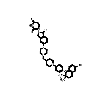 CC1(C)CCc2cc(O)ccc2[C@H]1c1ccc(N2CCC(CN3CCN(c4ccc5c(c4)CN([C@H]4CCC(=O)NC4=O)C5=O)CC3)CC2)cc1